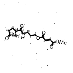 COC(=O)/C=C/C(=O)OCCCNC(=O)C1CCC(=O)N1